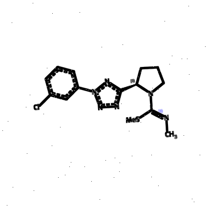 C/N=C(\SC)N1CCC[C@@H]1c1nnn(-c2cccc(Cl)c2)n1